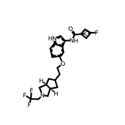 O=C(Nc1c[nH]c2ccc(OCCC3C[C@@H]4CN(CC(F)(F)F)C[C@@H]4C3)cc12)C12CC(F)(C1)C2